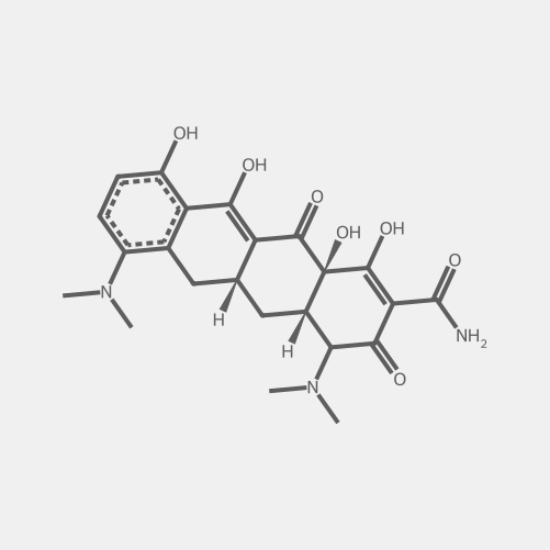 CN(C)c1ccc(O)c2c1C[C@H]1C[C@H]3C(N(C)C)C(=O)C(C(N)=O)=C(O)[C@@]3(O)C(=O)C1=C2O